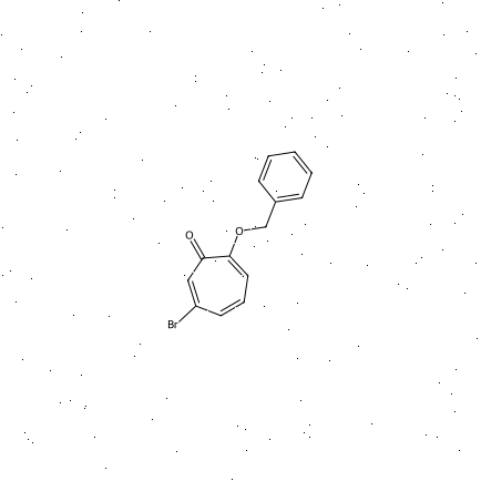 O=c1cc(Br)cccc1OCc1ccccc1